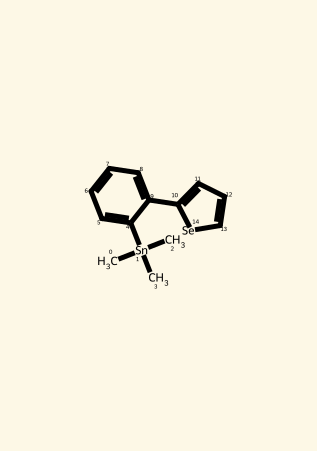 [CH3][Sn]([CH3])([CH3])[c]1ccccc1-c1ccc[se]1